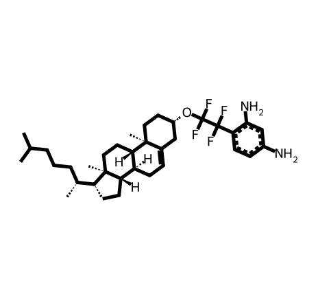 CC(C)CCC[C@@H](C)[C@H]1CC[C@H]2[C@@H]3CC=C4C[C@@H](OC(F)(F)C(F)(F)c5ccc(N)cc5N)CC[C@]4(C)[C@H]3CC[C@]12C